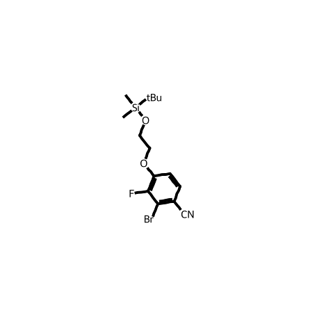 CC(C)(C)[Si](C)(C)OCCOc1ccc(C#N)c(Br)c1F